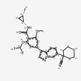 COc1cc(-c2cnn3cc(C4(C#N)CCOCC4)ccc23)cc(OC(F)F)c1C(=O)N[C@@H]1C[C@@H]1F